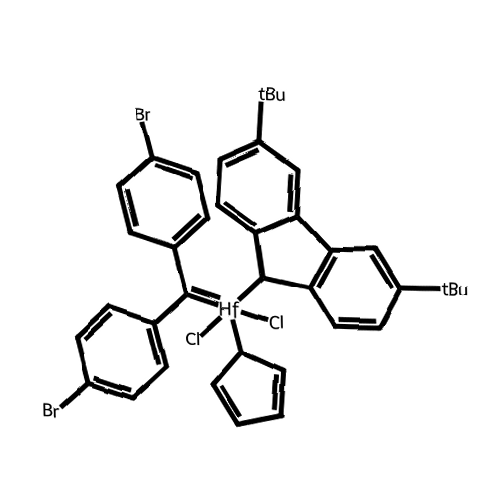 CC(C)(C)c1ccc2c(c1)-c1cc(C(C)(C)C)ccc1[CH]2[Hf]([Cl])([Cl])(=[C](c1ccc(Br)cc1)c1ccc(Br)cc1)[CH]1C=CC=C1